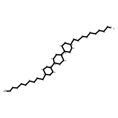 FCCCCCCCCCC1CCC(C2CCC(C3CCC(CCCCCCCCCF)CC3)CC2)CC1